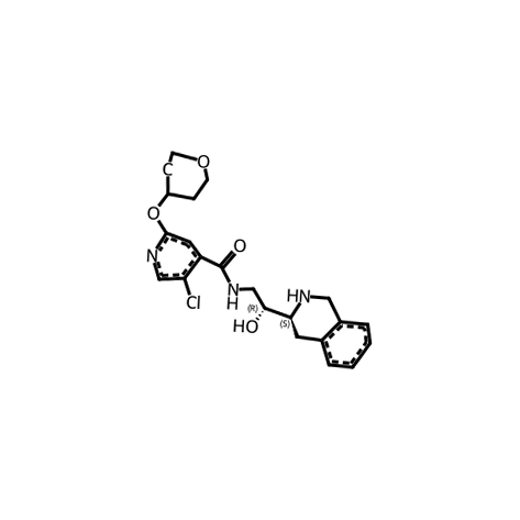 O=C(NC[C@@H](O)[C@@H]1Cc2ccccc2CN1)c1cc(OC2CCOCC2)ncc1Cl